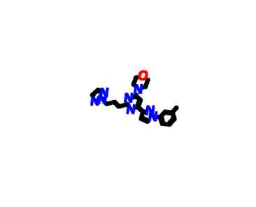 Cc1cccc(-n2ccc(-c3cc(N4CCOCC4)nc(CCCn4nccn4)n3)n2)c1